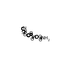 NC(=O)OC1CCN(C(=O)c2coc3cc(Oc4nc5ncccc5s4)ccc23)CC1